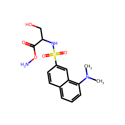 CN(C)c1cccc2ccc(S(=O)(=O)NC(CO)C(=O)ON)cc12